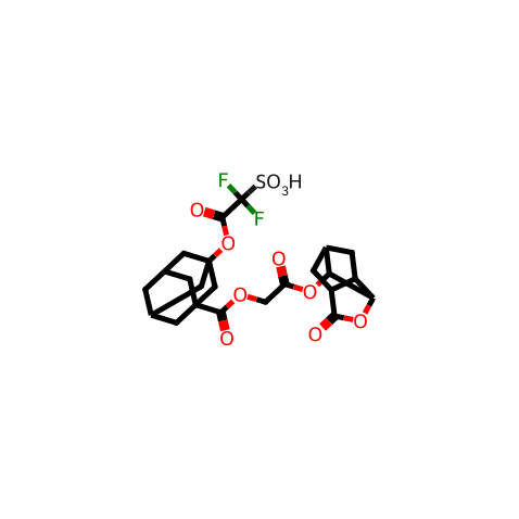 O=C(COC(=O)C12CC3CC(CC(OC(=O)C(F)(F)S(=O)(=O)O)(C3)C1)C2)OC1C2CC3C(=O)OC1C3C2